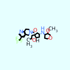 COC1COCCC1N[C@@H]1C[C@H]2OC(C)C[C@@]2(C(=O)N2CCc3ncc(C(F)(F)F)cc3C2)C1